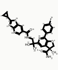 C[C@]1(C(N)=O)COc2c1cc(C(O)(CNC(=O)c1cnc3nc(C4CC4)sc3c1)C(F)(F)F)nc2-c1ccc(F)cc1